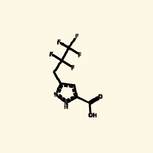 O=C(O)c1cc(CC(F)(F)C(F)(F)F)n[nH]1